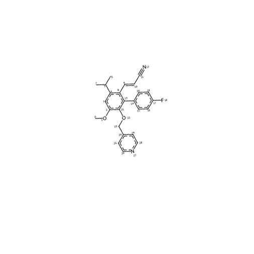 COc1cc(C(C)C)c(C=CC#N)c(-c2ccc(F)cc2)c1OCc1ccncc1